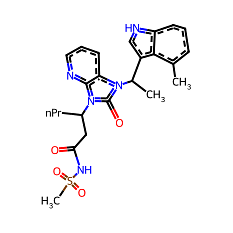 CCCC(CC(=O)NS(C)(=O)=O)n1c(=O)n(C(C)c2c[nH]c3cccc(C)c23)c2cccnc21